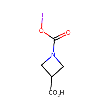 O=C(O)C1CN(C(=O)OI)C1